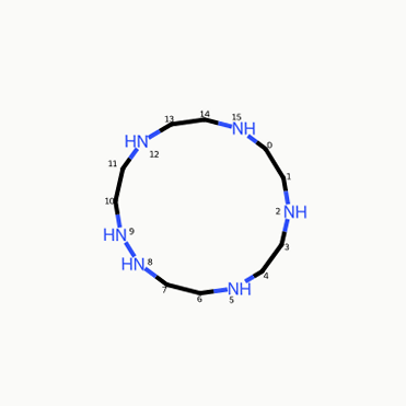 C1CNCCNCCNNCCNCCN1